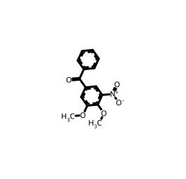 COc1cc(C(=O)c2ccccc2)cc([N+](=O)[O-])c1OC